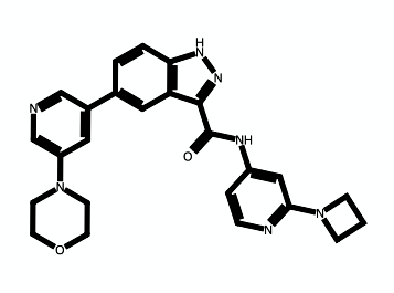 O=C(Nc1ccnc(N2CCC2)c1)c1n[nH]c2ccc(-c3cncc(N4CCOCC4)c3)cc12